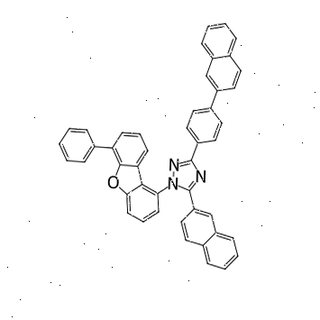 c1ccc(-c2cccc3c2oc2cccc(-n4nc(-c5ccc(-c6ccc7ccccc7c6)cc5)nc4-c4ccc5ccccc5c4)c23)cc1